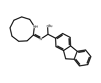 CCCCC(N=C1CCCCCCCN1)c1ccc2c(c1)Cc1ccccc1-2